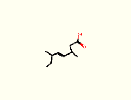 CCC(C)/C=C/C(C)CC(=O)O